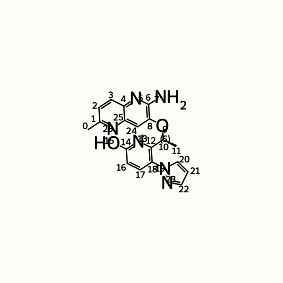 Cc1ccc2nc(N)c(O[C@@H](C)c3nc(O)ccc3-n3cccn3)cc2n1